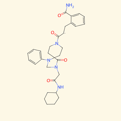 NC(=O)c1ccccc1C[CH]C(=O)N1CCC2(CC1)C(=O)N(CC(=O)NC1CCCCC1)CN2c1ccccc1